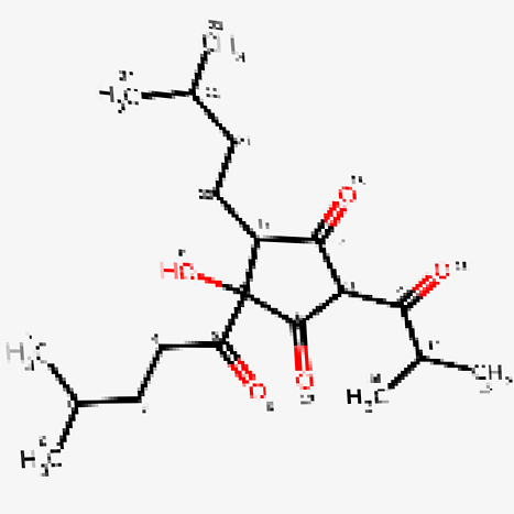 CC(C)CCC(=O)C1(O)C(=O)C(C(=O)C(C)C)C(=O)C1CCC(C)C